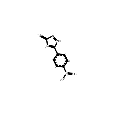 O=[N+]([O-])c1ccc(C2=NC(=S)N=N2)cc1